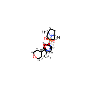 CC1CCN([C@H]2C[C@H]3CC[C@@H](C2)N3S(=O)(=O)c2cnc(C3CCOCC3)o2)CC1